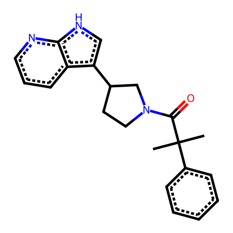 CC(C)(C(=O)N1CCC(c2c[nH]c3ncccc23)C1)c1ccccc1